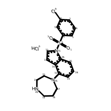 Cl.O=S(=O)(c1cccc(Cl)c1)n1ccc2c(N3CCCNCC3)cccc21